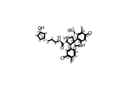 CC(C)(C)C[C@H]1N[C@@H](C(=O)NCCC[C@@H]2CC[C@H](O)C2)[C@H](c2ccc(F)c(Cl)c2)[C@@]12C(=O)Nc1cc(Cl)c(F)cc12